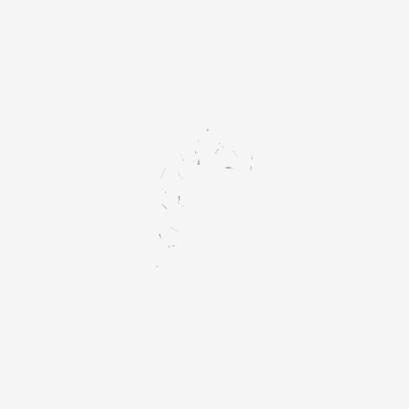 CCc1c(-c2ccc(OC(F)(F)F)c(F)c2)nc2cc(C(=O)N[C@@H](CO)c3ccc(S(=O)(=O)CC)cn3)ccn12